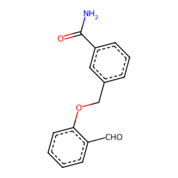 NC(=O)c1cccc(COc2ccccc2C=O)c1